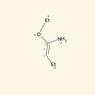 CC/C=C(\N)OCC